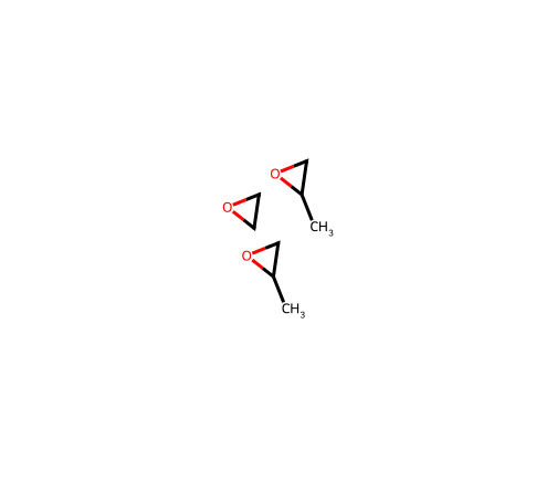 C1CO1.CC1CO1.CC1CO1